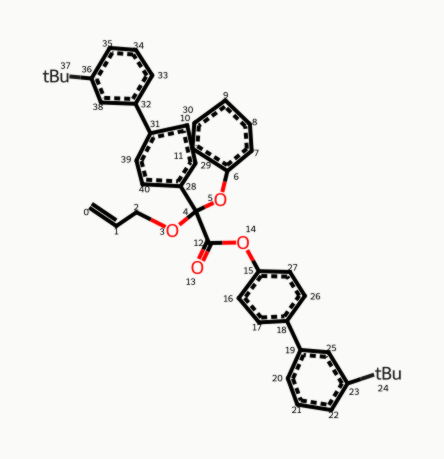 C=CCOC(Oc1ccccc1)(C(=O)Oc1ccc(-c2cccc(C(C)(C)C)c2)cc1)c1ccc(-c2cccc(C(C)(C)C)c2)cc1